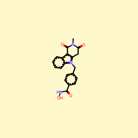 CN1C(=O)Cc2c(c3ccccc3n2Cc2ccc(C(=O)NO)cc2)C1=O